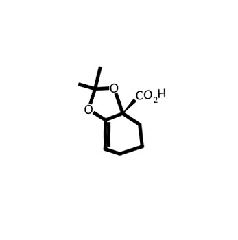 CC1(C)OC2=CCCC[C@@]2(C(=O)O)O1